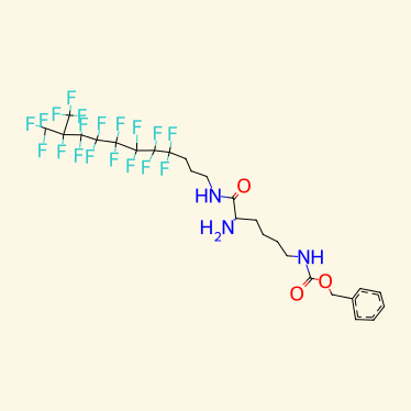 N[C@@H](CCCCNC(=O)OCc1ccccc1)C(=O)NCCCC(F)(F)C(F)(F)C(F)(F)C(F)(F)C(F)(F)C(F)(F)C(F)(C(F)(F)F)C(F)(F)F